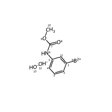 [B+2]c1cccc(NC(=O)OC)c1.[OH-].[OH-]